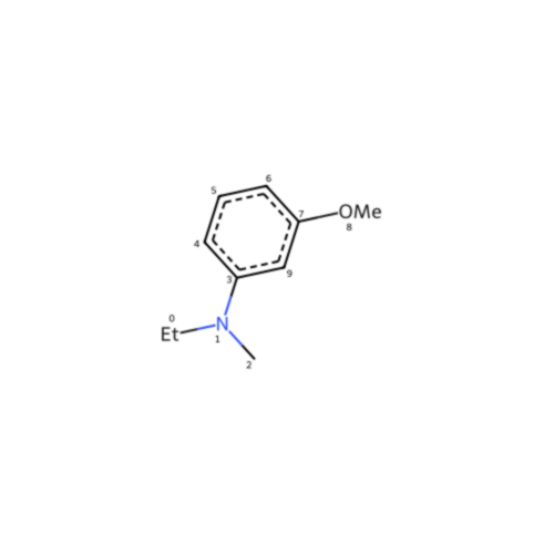 CCN(C)c1cccc(OC)c1